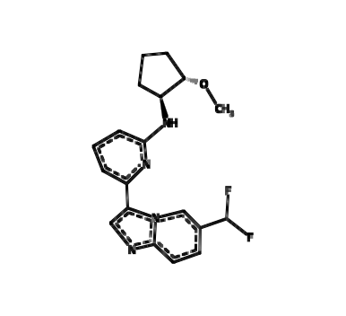 CO[C@H]1CCC[C@@H]1Nc1cccc(-c2cnc3ccc(C(F)F)cn23)n1